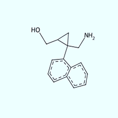 NCC1(c2cccc3ccccc23)CC1CO